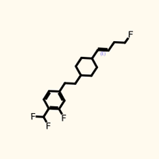 FCC/C=C/C1CCC(CCc2ccc(C(F)F)c(F)c2)CC1